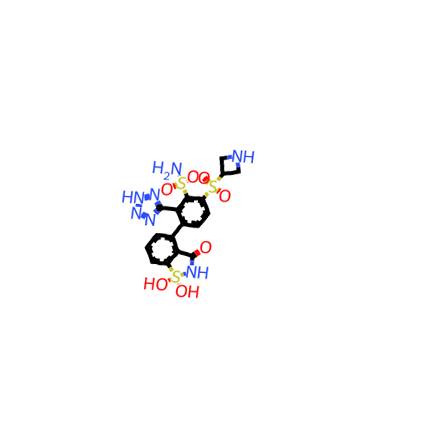 NS(=O)(=O)c1c(S(=O)(=O)C2CNC2)ccc(-c2cccc3c2C(=O)NS3(O)O)c1-c1nn[nH]n1